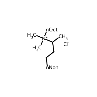 CCCCCCCCCCCC(C)[N+](C)(C)CCCCCCCC.[Cl-]